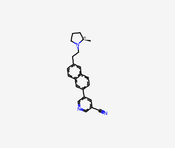 C[C@@H]1CCCN1CCc1ccc2cc(-c3cncc(C#N)c3)ccc2c1